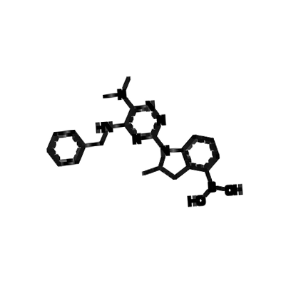 CC1Cc2c(B(O)O)cccc2N1c1nnc(N(C)C)c(NCc2ccccc2)n1